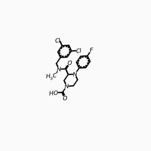 CN(Cc1cc(Cl)cc(Cl)c1)C(=O)C1CN(C(=O)O)CCN1c1ccc(F)cc1